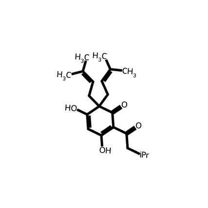 CC(C)=CCC1(CC=C(C)C)C(=O)C(C(=O)CC(C)C)=C(O)C=C1O